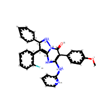 COc1ccc(C2=C(Nc3ccccn3)NC3=C(c4ccccc4F)C(c4ccccc4)NN3C2=O)cc1